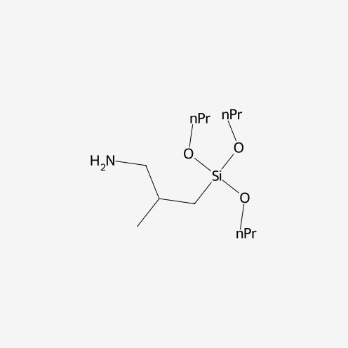 CCCO[Si](CC(C)CN)(OCCC)OCCC